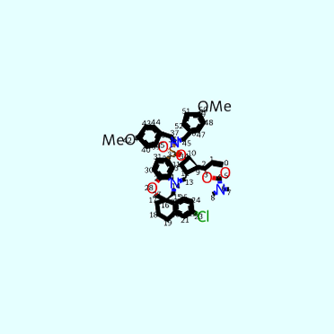 C=C[C@H](OC(=O)N(C)C)[C@@H]1CC[C@H]1CN1C[C@@]2(CCCc3cc(Cl)ccc32)COc2ccc(S(=O)(=O)N(Cc3ccc(OC)cc3)Cc3ccc(OC)cc3)cc21